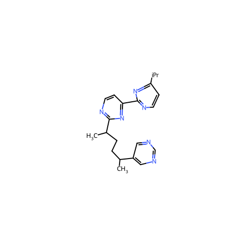 CC(C)c1ccnc(-c2ccnc(C(C)CCC(C)c3cncnc3)n2)n1